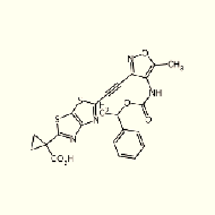 Cc1onc(C#Cc2nc3nc(C4(C(=O)O)CC4)sc3s2)c1NC(=O)OC(C)c1ccccc1